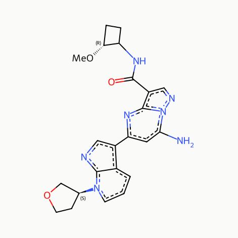 CO[C@@H]1CCC1NC(=O)c1cnn2c(N)cc(-c3cnc4n([C@H]5CCOC5)cccc3-4)nc12